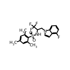 Cc1cc(C)c(S(=O)(=O)NC(Cn2ccc3c(F)cccc32)C(F)(F)F)c(C)c1